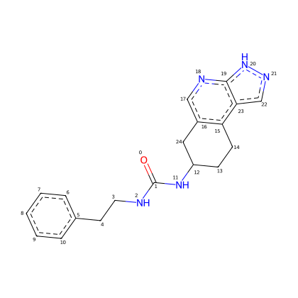 O=C(NCCc1ccccc1)NC1CCc2c(cnc3[nH]ncc23)C1